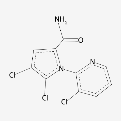 NC(=O)c1cc(Cl)c(Cl)n1-c1ncccc1Cl